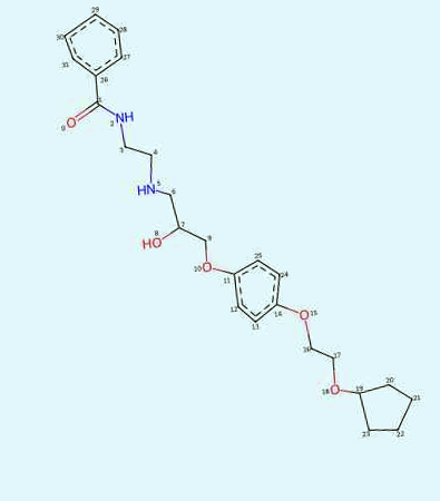 O=C(NCCNCC(O)COc1ccc(OCCOC2CCCC2)cc1)c1ccccc1